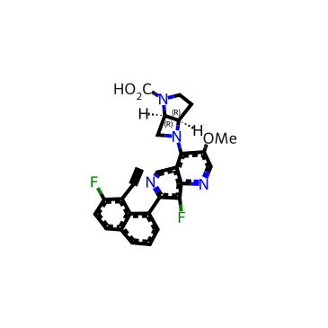 C#Cc1c(F)ccc2cccc(-c3ncc4c(N5C[C@@H]6[C@H]5CCN6C(=O)O)c(OC)cnc4c3F)c12